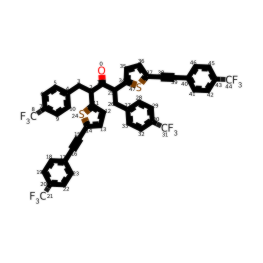 O=C(C(Cc1ccc(C(F)(F)F)cc1)c1ccc(C#Cc2ccc(C(F)(F)F)cc2)s1)C(Cc1ccc(C(F)(F)F)cc1)c1ccc(C#Cc2ccc(C(F)(F)F)cc2)s1